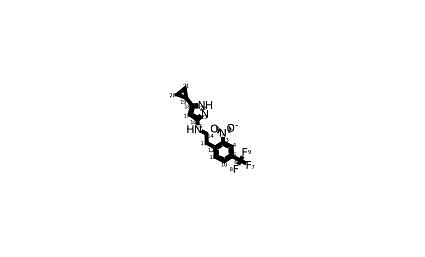 O=[N+]([O-])c1cc(C(F)(F)F)ccc1CCNc1cc(C2CC2)[nH]n1